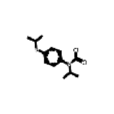 CC(C)Sc1ccc(N(C(=O)Cl)C(C)C)cc1